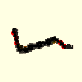 CCCCOCCOCCc1ccc(-c2ccc(/C=C/c3ccc(/C=C/c4ccc(-c5ccc(-c6ccc(CCOCCOCCOCC)s6)s5)cc4)cc3)cc2)s1